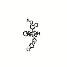 O=C(NC(CN1CCCCC1)[C@H](O)c1ccc(OC2CC2)c(Cl)c1)[C@@H]1CCN(c2ccc(Cl)cc2)C1